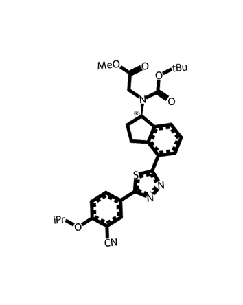 COC(=O)CN(C(=O)OC(C)(C)C)[C@@H]1CCc2c(-c3nnc(-c4ccc(OC(C)C)c(C#N)c4)s3)cccc21